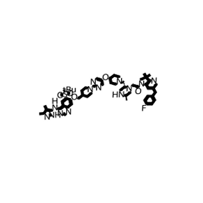 Cc1n[nH]c(Nc2ncnc3cc(OCC4CCN(c5ncc(OC6CCN(C[C@H]7CN[C@H](C)CN7CC(=O)N7CC(C)(C)c8ncc(Cc9ccc(F)cc9)cc87)CC6)cn5)CC4)c(S(=O)(=O)C(C)(C)C)cc23)c1C